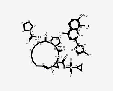 COc1ccc2c(O[C@@H]3C[C@H]4C(=O)N[C@]5(C(=O)NS(=O)(=O)C6CC6)C[C@H]5/C=C/CCCCC[C@H](NC(=O)N5CCCC5)C(=O)N4C3)cc(-c3nc(C(C)C)cs3)nc2c1C